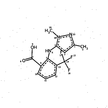 Cc1cc(Nc2c(C(=O)O)cccc2C(F)(F)F)n(C)n1